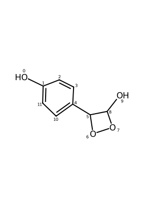 Oc1ccc(C2OOC2O)cc1